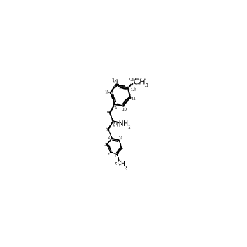 Cc1ccc(CC(N)Cc2ccc(C)cc2)cc1